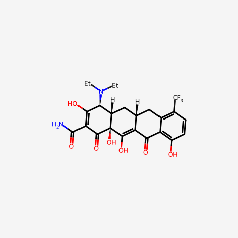 CCN(CC)[C@@H]1C(O)=C(C(N)=O)C(=O)[C@@]2(O)C(O)=C3C(=O)c4c(O)ccc(C(F)(F)F)c4C[C@H]3C[C@@H]12